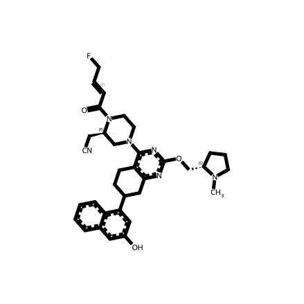 CN1CCC[C@H]1COc1nc2c(c(N3CCN(C(=O)/C=C/CF)[C@H](CC#N)C3)n1)CCC(c1cc(O)cc3ccccc13)C2